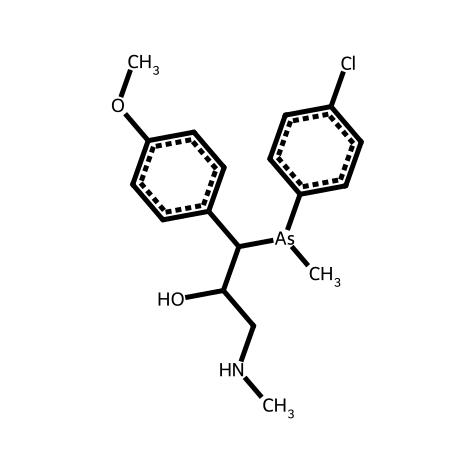 CNCC(O)C(c1ccc(OC)cc1)[As](C)c1ccc(Cl)cc1